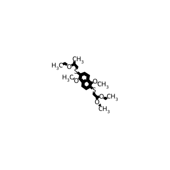 CCOC(C)CSc1ccc2c(OC)c(SCC(OCC)OCC)ccc2c1OC